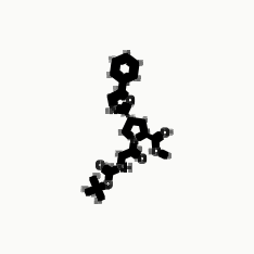 COC(=O)[C@@H]1C[C@@H](c2ncc(-c3ccccc3)o2)CN1C(=O)CNC(=O)OC(C)(C)C